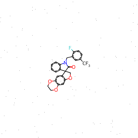 O=C1N(Cc2cc(C(F)(F)F)ccc2F)c2ccccc2C12COc1cc3c(cc12)OCCO3